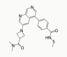 CSNC(=O)c1ccc(-c2cncc3ncc(N4CC(C(=O)N(C)C)C4)cc23)cc1